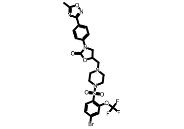 Cc1nc(-c2ccc(N3CC(CN4CCN(S(=O)(=O)c5ccc(Br)cc5OC(F)(F)F)CC4)OC3=O)cc2)no1